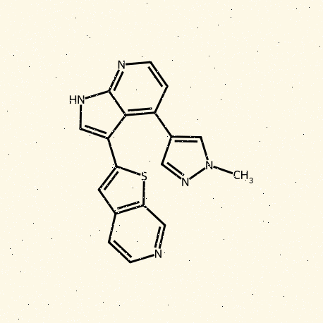 Cn1cc(-c2ccnc3[nH]cc(-c4cc5ccncc5s4)c23)cn1